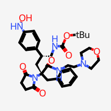 CC(C)(C)OC(=O)NC[C@H](C[C@](Cc1ccccc1)(C(=O)NCCN1CCOCC1)N1C(=O)CCC1=O)c1ccc(NO)cc1